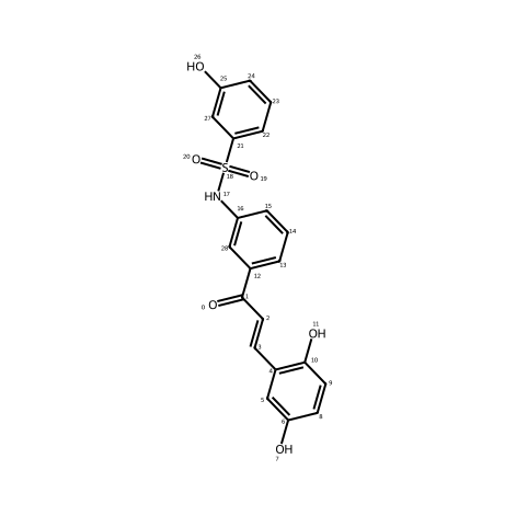 O=C(/C=C/c1cc(O)ccc1O)c1cccc(NS(=O)(=O)c2cccc(O)c2)c1